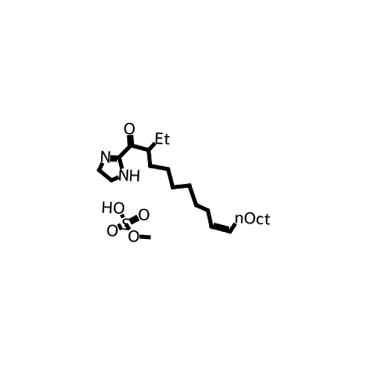 CCCCCCCC/C=C\CCCCCCC(CC)C(=O)C1=NCCN1.COS(=O)(=O)O